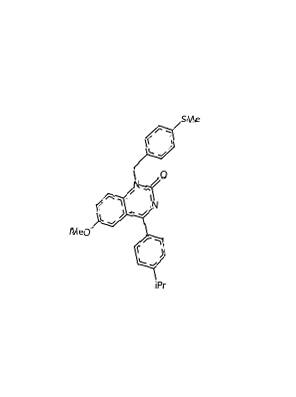 COc1ccc2c(c1)c(-c1ccc(C(C)C)cc1)nc(=O)n2Cc1ccc(SC)cc1